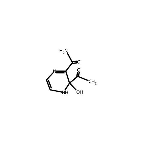 CC(=O)C1(O)NC=CN=C1C(N)=O